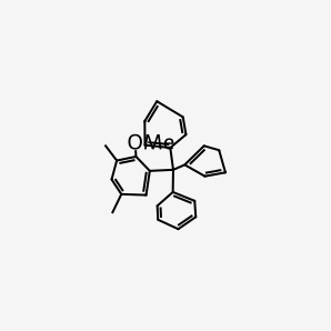 COc1c(C)cc(C)cc1C(C1=CCC=C1)(c1ccccc1)c1ccccc1